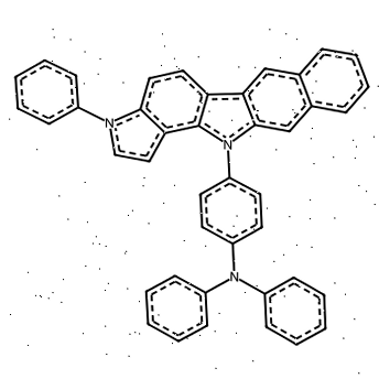 c1ccc(N(c2ccccc2)c2ccc(-n3c4cc5ccccc5cc4c4ccc5c(ccn5-c5ccccc5)c43)cc2)cc1